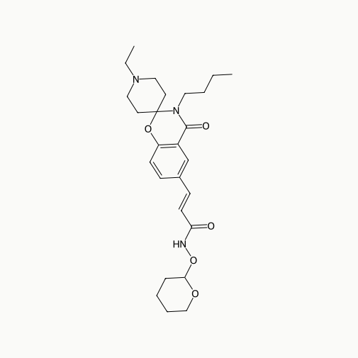 CCCCN1C(=O)c2cc(C=CC(=O)NOC3CCCCO3)ccc2OC12CCN(CC)CC2